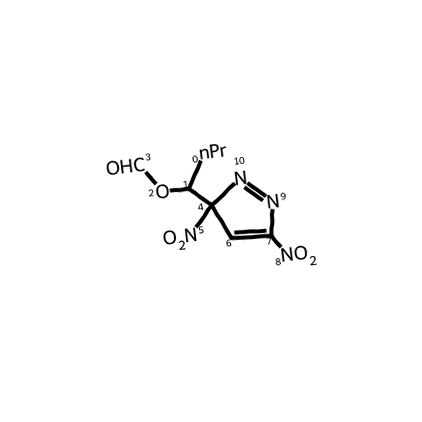 CCCC(OC=O)C1([N+](=O)[O-])C=C([N+](=O)[O-])N=N1